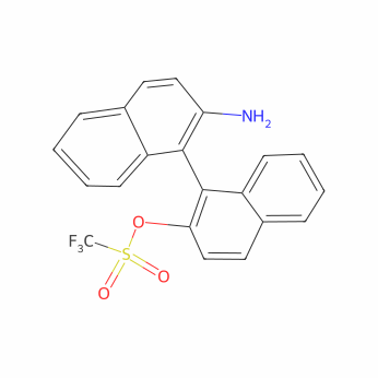 Nc1ccc2ccccc2c1-c1c(OS(=O)(=O)C(F)(F)F)ccc2ccccc12